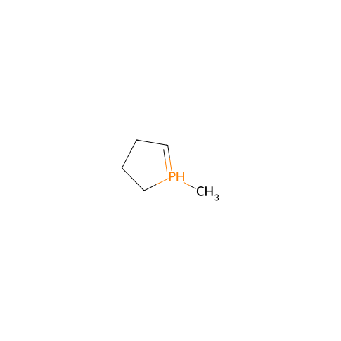 C[PH]1=CCCC1